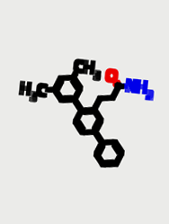 Cc1cc(C)cc(-c2ccc(-c3ccccc3)cc2CCC(N)=O)c1